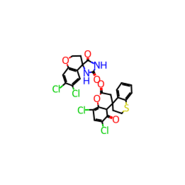 O=C1CC2(CCSc3ccccc32)C2C(=O)C(Cl)=CC(Cl)=C2O1.O=C1NC(=O)C2(CCOc3cc(Cl)c(Cl)cc32)N1